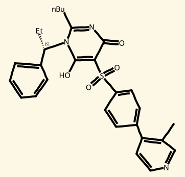 CCCCc1nc(=O)c(S(=O)(=O)c2ccc(-c3ccncc3C)cc2)c(O)n1[C@@H](CC)c1ccccc1